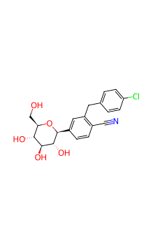 N#Cc1ccc([C@@H]2O[C@H](CO)[C@@H](O)[C@H](O)[C@H]2O)cc1Cc1ccc(Cl)cc1